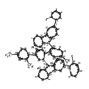 Cc1ccccc1-c1ccc2c(c1)c1ccccc1n2-c1ccc(C#N)cc1-c1ccc(-c2ccc(C(F)(F)F)cc2C(F)(F)F)cc1-n1c2ccccc2c2cc(-c3ccccc3C)ccc21